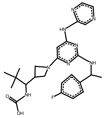 CC(Nc1nc(Nc2cnccn2)cc(N2CC(C(NC(=O)O)C(C)(C)C)C2)n1)c1ccc(F)cc1